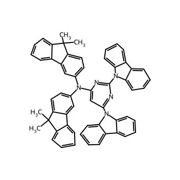 CC1(C)c2ccccc2-c2cc(N(c3ccc4c(c3)-c3ccccc3C4(C)C)c3cc(-n4c5ccccc5c5ccccc54)nc(-n4c5ccccc5c5ccccc54)n3)ccc21